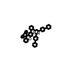 C1=CC(c2ccccc2)CC=C1c1nc(-c2ccc(-c3ccccc3)cc2)cc(-c2ccccc2-c2ccc3c(c2)C2(c4ccccc4O3)c3ccccc3-c3ccccc32)n1